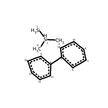 C[SiH](C)[SiH3].c1ccc(-c2ccccc2)cc1